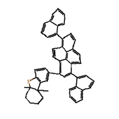 CC12CCCCC1(C)c1cc(-c3cc(-c4cccc5ccccc45)c4ccc5ccc(-c6cccc7ccccc67)c6ccc3c4c56)ccc1S2